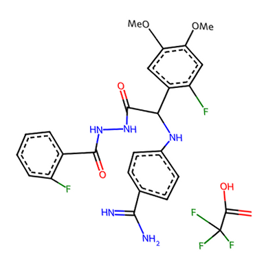 COc1cc(F)c(C(Nc2ccc(C(=N)N)cc2)C(=O)NNC(=O)c2ccccc2F)cc1OC.O=C(O)C(F)(F)F